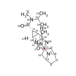 Cc1noc(N2C3CCC2CC(N2C[C@@H]4[C@H](C2)[C@H]4C(=O)N(C)C(C)C)C3)n1